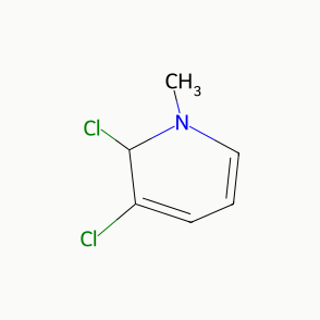 CN1C=CC=C(Cl)C1Cl